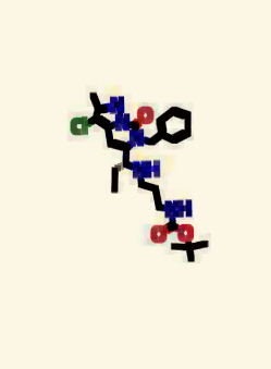 CC[C@@H](NCCCNC(=O)OC(C)(C)C)c1cc2c(Cl)c(C)nn2c(=O)n1Cc1ccccc1